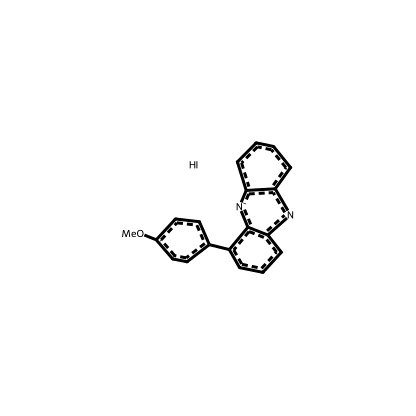 COc1ccc(-c2cccc3nc4ccccc4nc23)cc1.I